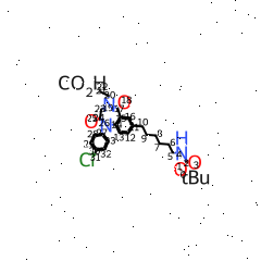 CC(C)(C)OC(=O)NCCCCCCc1ccc2c(c1)C(=O)N(CCC(=O)O)CC(=O)N2c1ccc(Cl)cc1